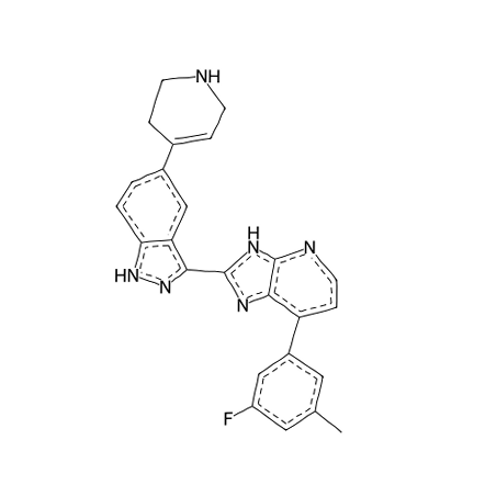 Cc1cc(F)cc(-c2ccnc3[nH]c(-c4n[nH]c5ccc(C6=CCNCC6)cc45)nc23)c1